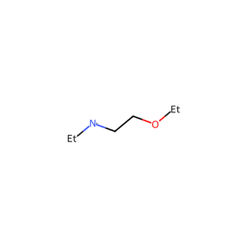 CC[N]CCOCC